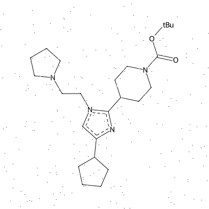 CC(C)(C)OC(=O)N1CCC(c2nc(C3CCCC3)cn2CCN2CCCC2)CC1